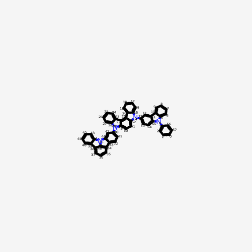 c1ccc(-n2c3ccccc3c3cc(-n4c5ccccc5c5c6c7ccccc7n(-c7ccc8c9cccc%10c%11ccccc%11n(c8c7)c%109)c6ccc54)ccc32)cc1